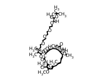 COc1cc2cc(c1Cl)N(C)C(=O)CC(OC(=O)C(C)N(C)CCOCCOCCOCCONC(=O)OC(C)(C)C)[C@]1(C)O[C@H]1[C@H](C)C1C[C@@](O)(NC(=O)O1)[C@H](OC)/C=C/C=C(\C)C2